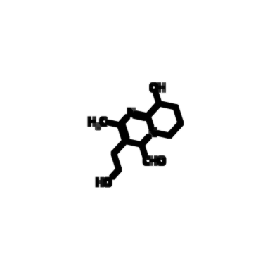 CC1=C(CCO)C(C=O)N2CCCC(O)C2=N1